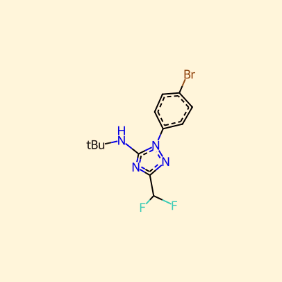 CC(C)(C)Nc1nc(C(F)F)nn1-c1ccc(Br)cc1